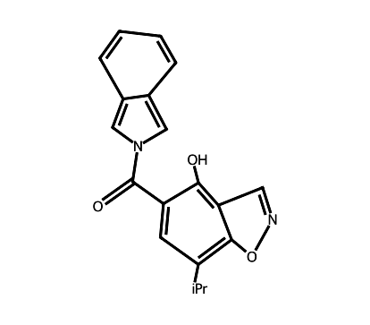 CC(C)c1cc(C(=O)n2cc3ccccc3c2)c(O)c2cnoc12